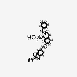 CC(C)c1nc2ccc(COc3ccc4c(c3)C(C(=O)O)N(Cc3ccccc3)CC4)cc2o1